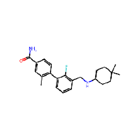 Cc1cc(C(N)=O)ccc1-c1cccc(CNC2CCC(C)(C)CC2)c1F